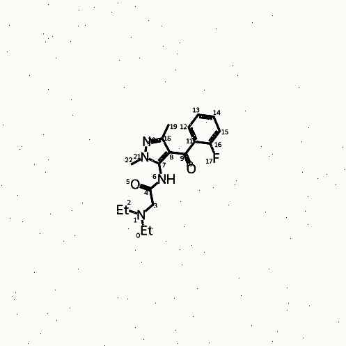 CCN(CC)CC(=O)Nc1c(C(=O)c2ccccc2F)c(C)nn1C